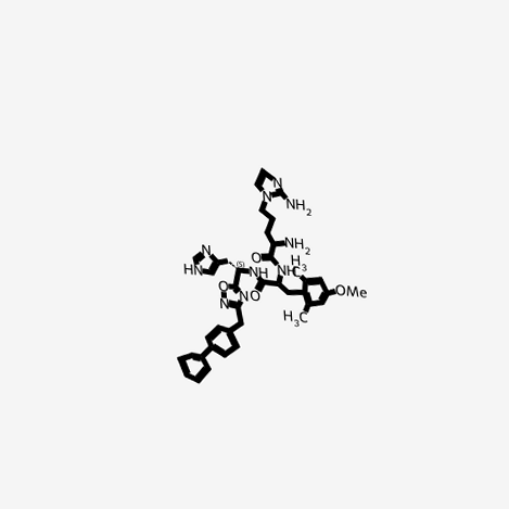 COc1cc(C)c(CC(NC(=O)C(N)CCCn2ccnc2N)C(=O)N[C@@H](Cc2c[nH]cn2)c2nc(Cc3ccc(-c4ccccc4)cc3)no2)c(C)c1